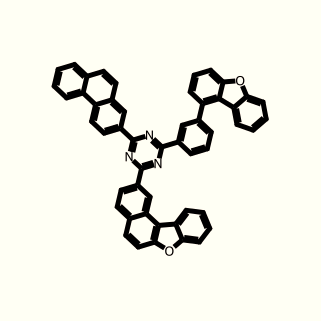 c1cc(-c2nc(-c3ccc4c(ccc5ccccc54)c3)nc(-c3ccc4ccc5oc6ccccc6c5c4c3)n2)cc(-c2cccc3oc4ccccc4c23)c1